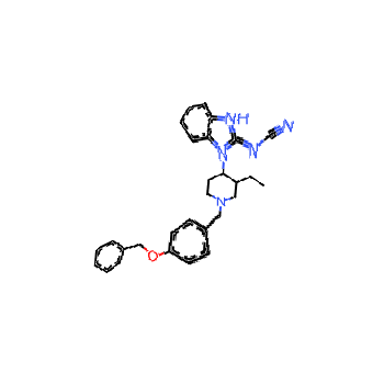 CCC1CN(Cc2ccc(OCc3ccccc3)cc2)CCC1n1c(=NC#N)[nH]c2ccccc21